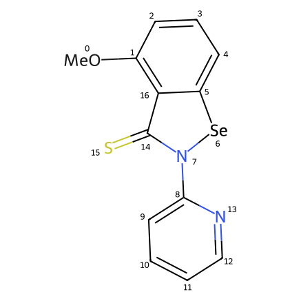 COc1cccc2[se]n(-c3ccccn3)c(=S)c12